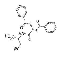 CC(C)CC(NC(=O)C(SC(=O)c1ccccc1)SC(=O)c1ccccc1)C(=O)O